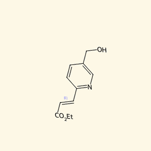 CCOC(=O)/C=C/c1ccc(CO)cn1